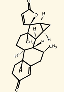 C[C@@H]1CC2=CC(=O)CC[C@@H]2[C@H]2CC[C@@]3(C)[C@@H]([C@@H]4C[C@@H]4[C@@]34C=CC(=O)O4)[C@@H]21